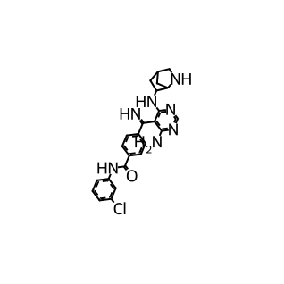 N=C(c1ccc(C(=O)Nc2cccc(Cl)c2)cc1)c1c(N)ncnc1NC1CC2CNC1C2